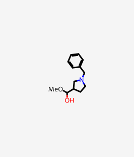 COC(O)C1CCN(Cc2ccccc2)C1